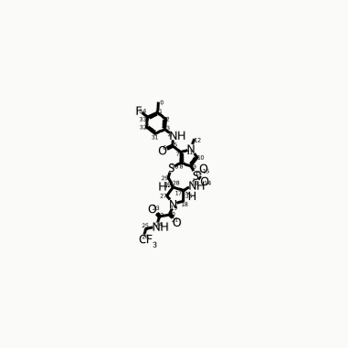 Cc1cc(NC(=O)c2c3c(cn2C)S(=O)(=O)N[C@H]2CN(C(=O)C(=O)NCC(F)(F)F)C[C@H]2CS3)ccc1F